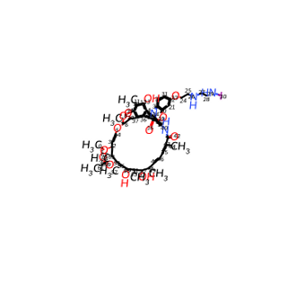 CO[C@H]1/C=C/O[C@@]2(C)Oc3c(C)c(O)c4c(=O)c(c5oc6cc(OCCNCCNI)ccc6nc-5c4c3C2=O)NC(=O)/C(C)=C\C=C\[C@H](C)[C@H](O)[C@@H](C)[C@@H](O)[C@@H](C)[C@H](OC(C)=O)[C@@H]1C